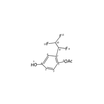 CC(=O)Oc1ccc(O)cc1C(F)C(F)F